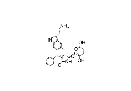 NCCc1c[nH]c2ccc(CC3C(=O)NC(=O)N3Cc3ccccc3)cc12.O=C(O)/C=C\C(=O)O